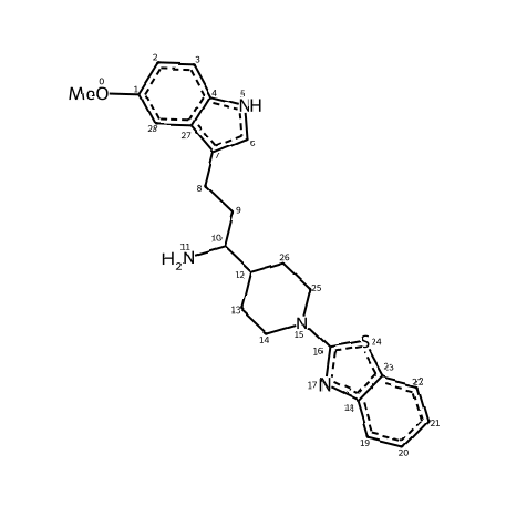 COc1ccc2[nH]cc(CCC(N)C3CCN(c4nc5ccccc5s4)CC3)c2c1